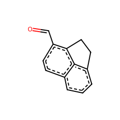 O=Cc1ccc2cccc3c2c1CC3